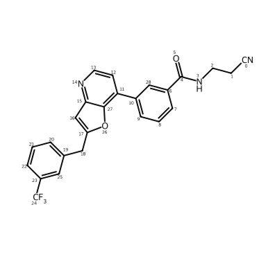 N#CCCNC(=O)c1cccc(-c2ccnc3cc(Cc4cccc(C(F)(F)F)c4)oc23)c1